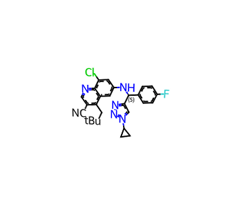 CC(C)(C)Cc1c(C#N)cnc2c(Cl)cc(N[C@@H](c3ccc(F)cc3)c3cn(C4CC4)nn3)cc12